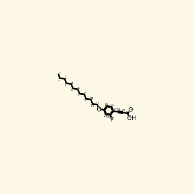 CCCCCCCCCCCCCOc1ccc(C#CC(=O)O)c(F)c1